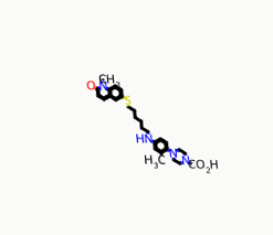 Cc1cc(NCCCCCCSc2ccc3c(ccc(=O)n3C)c2)ccc1N1CCN(C(=O)O)CC1